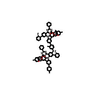 Cc1ccc(-c2ccc3c(c2)c2cc(-c4ccc(C)cc4)ccc2n3-c2cc(-c3ccccc3F)c(Cc3ccc(-c4ccc5c(c4)c4cc(-c6ccc(C)cc6C)ccc4n5-c4cc(-c5ccccc5F)ccc4-c4nc(-c5ccccc5)nc(-c5ccccc5)n4)c(C)c3)cc2-c2nc(-c3ccccc3)nc(-c3ccccc3)n2)cc1